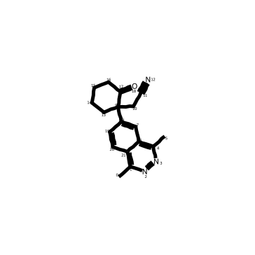 Cc1nnc(C)c2cc(C3(CC#N)CCCCC3=O)ccc12